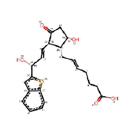 O=C(O)CCCC=CC[C@H]1[C@@H](O)CC(=O)[C@@H]1C=C[C@@H](O)c1cc2ccccc2s1